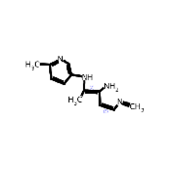 C=N/C=C\C(N)=C(/C)Nc1ccc(C)nc1